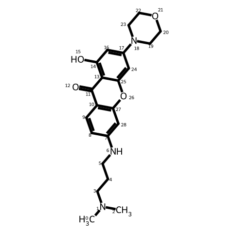 CN(C)CCCNc1ccc2c(=O)c3c(O)cc(N4CCOCC4)cc3oc2c1